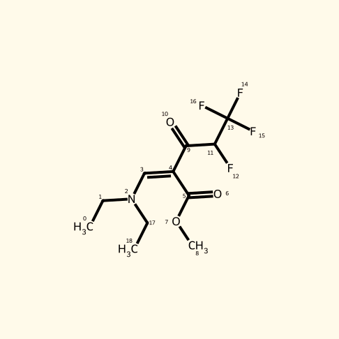 CCN(/C=C(\C(=O)OC)C(=O)C(F)C(F)(F)F)CC